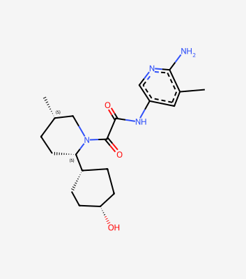 Cc1cc(NC(=O)C(=O)N2C[C@@H](C)CC[C@H]2[C@H]2CC[C@@H](O)CC2)cnc1N